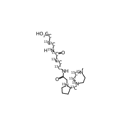 C[15N]1CC[15N]([13CH2]C2CCC[15N]2CC(=O)N[13CH2][13CH2][13CH2][13C](=O)[15NH][13CH2][13CH2][13CH2][13C](=O)O)[13CH2][13CH2]1